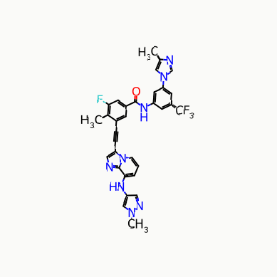 Cc1cn(-c2cc(NC(=O)c3cc(F)c(C)c(C#Cc4cnc5c(Nc6cnn(C)c6)cccn45)c3)cc(C(F)(F)F)c2)cn1